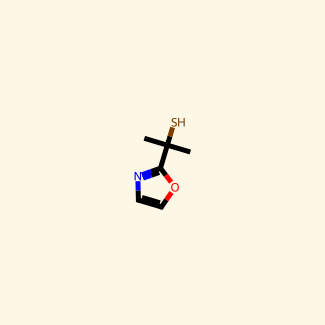 CC(C)(S)c1ncco1